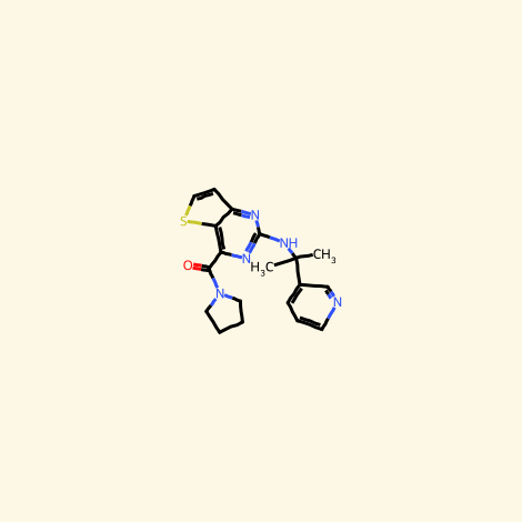 CC(C)(Nc1nc(C(=O)N2CCCC2)c2sccc2n1)c1cccnc1